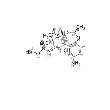 C[C@@H]1C[C@@H]2[C@](C)(N=C(NC(=O)OC(C)(C)C)C(C)(C)S2(=O)=O)c2cc(N)ccc2O1